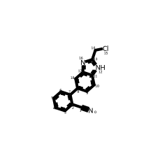 N#Cc1ccccc1-c1ccc2[nH]c(CCl)nc2c1